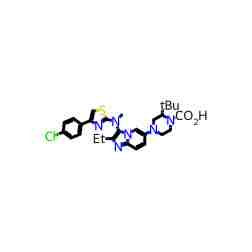 CCc1nc2ccc(N3CCN(C(=O)O)C(C(C)(C)C)C3)cn2c1N(C)c1nc(-c2ccc(Cl)cc2)cs1